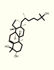 C[C@H](CCCC(C)(C)O)[C@H]1CC[C@H]2[C@@H]3CC=C4C(C)(O)[C@@H](O)CC[C@]4(C)[C@H]3CC[C@]12C